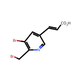 O=C(O)/C=C/c1cnc(CBr)c(Br)c1